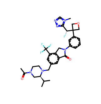 CC(=O)N1CCN(Cc2cc3c(c(C(F)(F)F)c2)CN(c2cccc(C4([C@H](F)c5nncn5C)COC4)c2)C3=O)[C@@H](C(C)C)C1